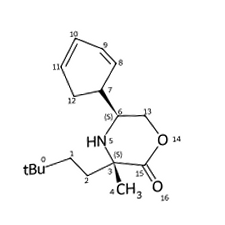 CC(C)(C)CC[C@]1(C)N[C@@H](C2C=CC=CC2)COC1=O